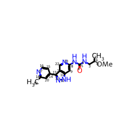 CO[C@@H](C)CNC(=O)Nc1cc2[nH]nc(-c3ccnc(C)c3)c2cn1